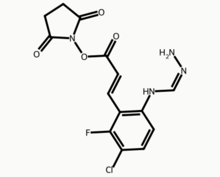 N/N=C\Nc1ccc(Cl)c(F)c1/C=C/C(=O)ON1C(=O)CCC1=O